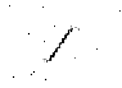 CCCCCCCCCCCCCCCC[Te]